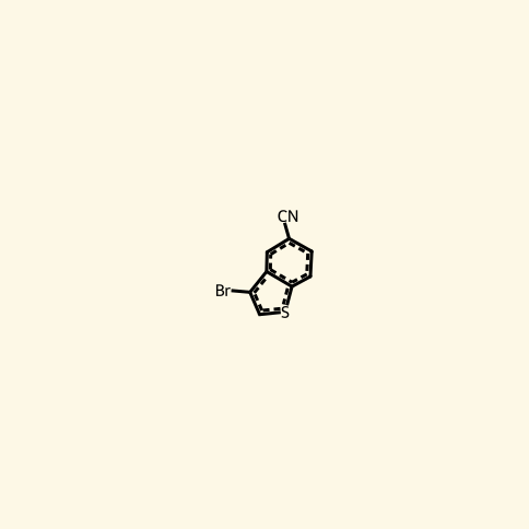 N#Cc1ccc2scc(Br)c2c1